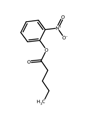 CCCCC(=O)Oc1ccccc1[N+](=O)[O-]